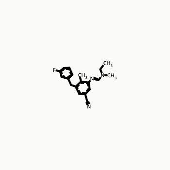 CCN(C)C=Nc1cc(C#N)cc(Cc2cccc(F)c2)c1C